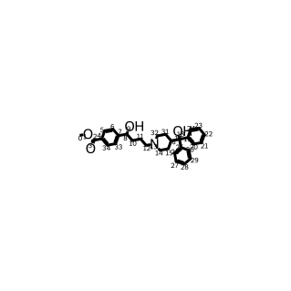 COC(=O)c1ccc(C(O)CCCN2CCC(C(O)(c3ccccc3)c3ccccc3)CC2)cc1